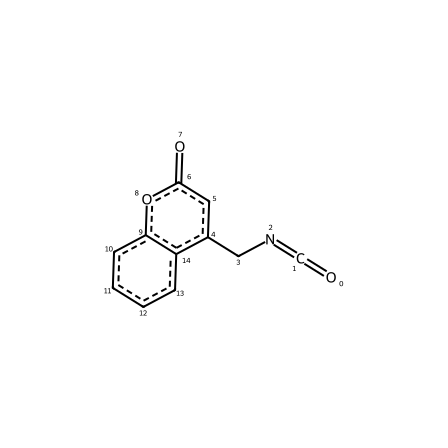 O=C=NCc1cc(=O)oc2ccccc12